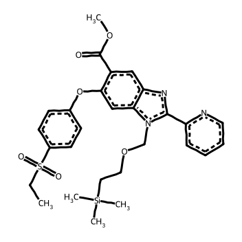 CCS(=O)(=O)c1ccc(Oc2cc3c(cc2C(=O)OC)nc(-c2ccccn2)n3COCC[Si](C)(C)C)cc1